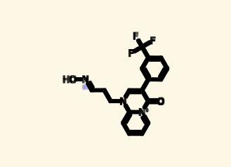 O=c1c(-c2cccc(C(F)(F)F)c2)cn(CC/C=N/O)c2cccc[n+]12